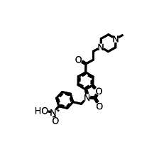 CN1CCN(CCC(=O)c2ccc3c(c2)oc(=O)n3Cc2cccc([N+](=O)O)c2)CC1